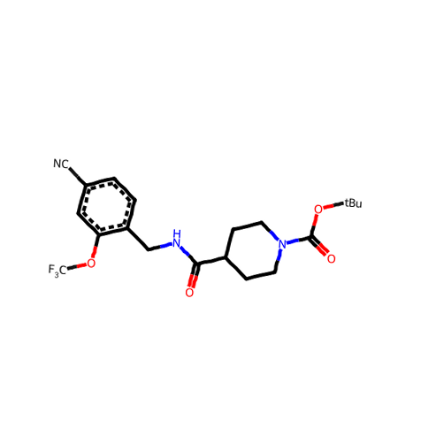 CC(C)(C)OC(=O)N1CCC(C(=O)NCc2ccc(C#N)cc2OC(F)(F)F)CC1